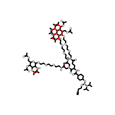 C#CCCOP(OC1CCC(C(=O)NC(CCC(=O)NCCOCCOCCOC2OC(COC(C)=O)C(OC(C)=O)C(OC(C)=O)C2NC(C)=O)C(=O)N(CC(=O)NCCOCCOCCOC2OC(COC(C)=O)C(OC(C)=O)C(OC(C)=O)C2NC(C)=O)CC(=O)NCCOCCOCCOC2OC(COC(C)=O)C(OC(C)=O)C(OC(C)=O)C2NC(C)=O)CC1)N(C(C)C)C(C)C